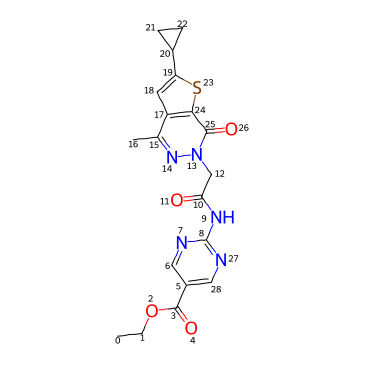 CCOC(=O)c1cnc(NC(=O)Cn2nc(C)c3cc(C4CC4)sc3c2=O)nc1